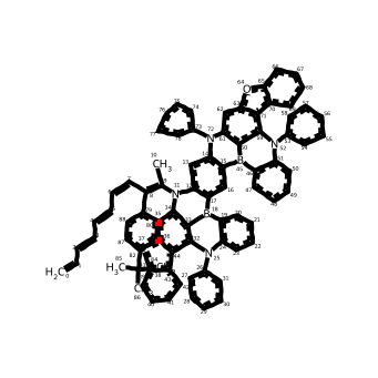 C=C/C=C/C=C/C=C\C(=C(/C)N1c2cc3c(cc2B2c4ccccc4N(c4ccccc4)c4c2c1cc1oc2ccccc2c41)B1c2ccccc2N(c2ccccc2)c2c1c(cc1oc4ccccc4c21)N3c1ccccc1)c1ccc(C(C)(C)C)cc1